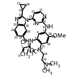 C=CC(=O)Nc1cc(Nc2nccc(-n3c(C4CC4)nc4ccc(C(F)(F)F)cc43)n2)c(OC)cc1N(C)CCN(C)C